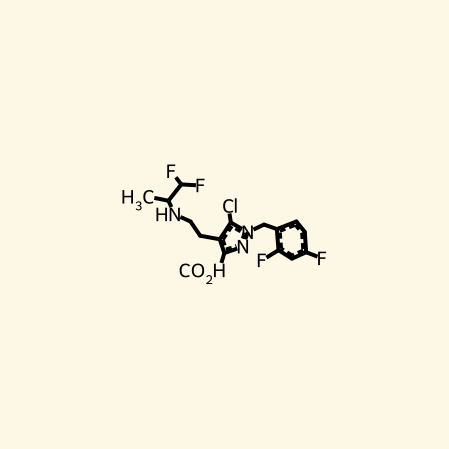 CC(NCCc1c(C(=O)O)nn(Cc2ccc(F)cc2F)c1Cl)C(F)F